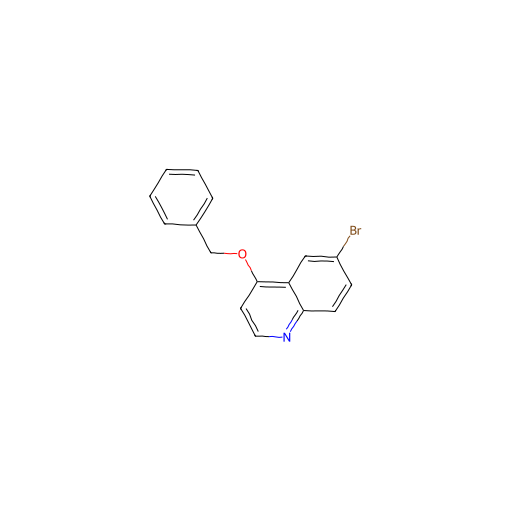 Brc1ccc2nccc(OCc3ccccc3)c2c1